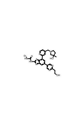 CCNC(=O)Nc1nc2cc(-c3cnc(CCO)nc3)cc(-c3cc(CN4CCC(C)(O)C4)ccn3)c2s1